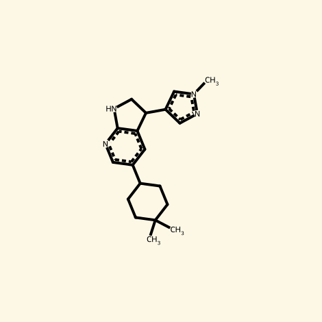 Cn1cc(C2CNc3ncc(C4CCC(C)(C)CC4)cc32)cn1